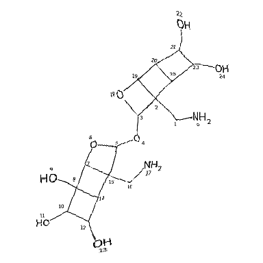 NCC12C(OC3OC4C5(O)C(O)C(O)C5C34CN)OC1C1C(O)C(O)C12